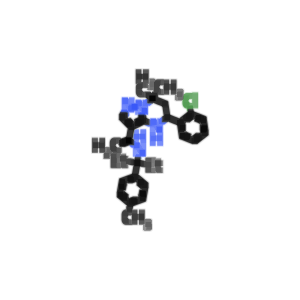 C=C(NC(CC)(CC)c1ccc(C)cc1)c1cnn2c1NC(c1ccccc1Cl)CC2(C)C